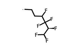 [CH2]CCC(F)C(F)(F)[C@@H](F)C(F)F